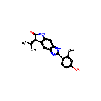 COc1cc(O)ccc1-c1nc2cc3c(cc2[nH]1)NC(=O)C3=C(C)C